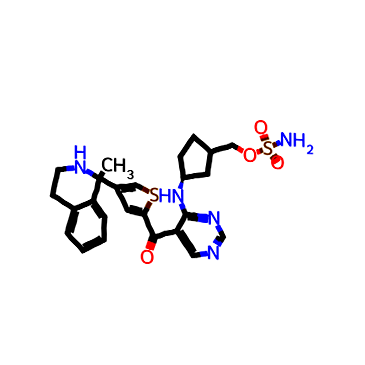 CC1(c2csc(C(=O)c3cncnc3N[C@H]3CCC(COS(N)(=O)=O)C3)c2)NCCc2ccccc21